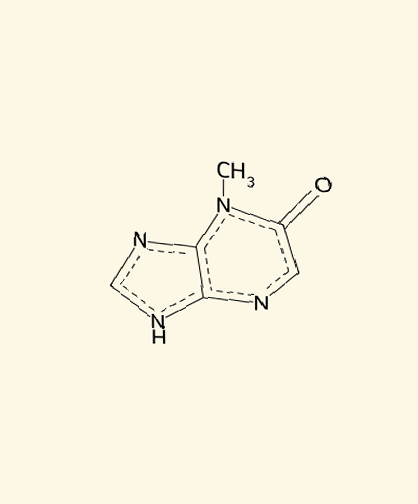 Cn1c(=O)cnc2[nH]cnc21